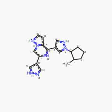 CC1CCCC1n1cc(-c2nc(-c3cn[nH]c3)cn3nccc23)cn1